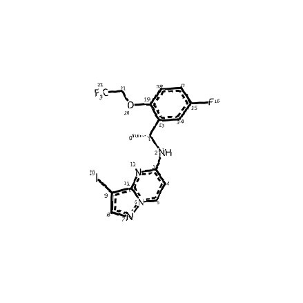 C[C@@H](Nc1ccn2ncc(I)c2n1)c1cc(F)ccc1OCC(F)(F)F